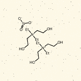 CC[N+](CC)(CCO)CCO.CC[N+](CC)(CCO)CCO.O=[Si]([O-])[O-]